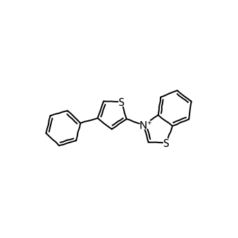 c1ccc(-c2csc(-[n+]3csc4ccccc43)c2)cc1